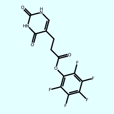 O=C(CCc1c[nH]c(=O)[nH]c1=O)Oc1c(F)c(F)c(F)c(F)c1F